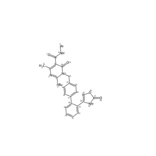 CCCCc1nc(C)c(C(=O)NC(C)C)c(=O)n1Cc1ccc(-c2ccccc2-c2noc(=O)[nH]2)cc1